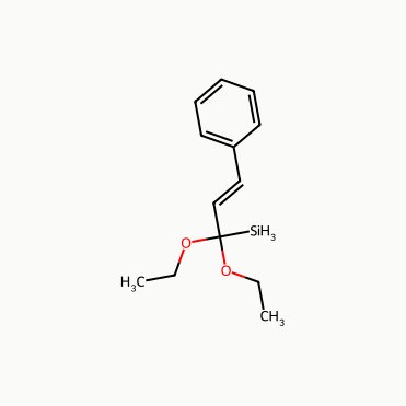 CCOC([SiH3])(C=Cc1ccccc1)OCC